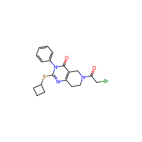 O=C(CBr)N1CCc2nc(SC3CCC3)n(-c3ccccc3)c(=O)c2C1